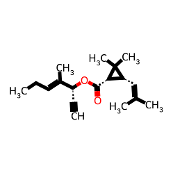 C#C[C@@H](OC(=O)[C@H]1[C@@H](C=C(C)C)C1(C)C)/C(C)=C/CC